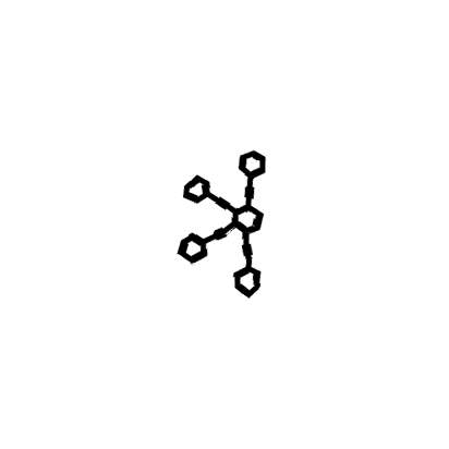 C(#Cc1ccc(C#Cc2ccccc2)c(C#Cc2ccccc2)c1C#Cc1ccccc1)c1ccccc1